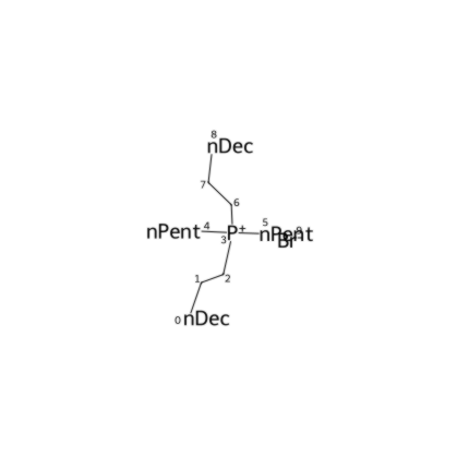 CCCCCCCCCCCC[P+](CCCCC)(CCCCC)CCCCCCCCCCCC.[Br-]